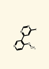 COc1ccncc1-c1cc(I)ncn1